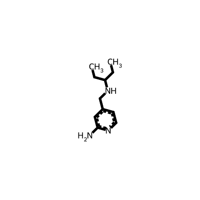 CCC(CC)NCc1ccnc(N)c1